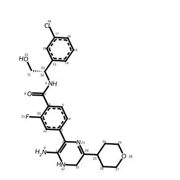 NC1=C(c2ccc(C(=O)N[C@H](CO)c3cccc(Cl)c3)c(F)c2)N=C(C2CCOCC2)CN1